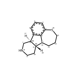 c1cc2c3c(c1)[C@@H]1CNCC[C@H]1N3CCCS2